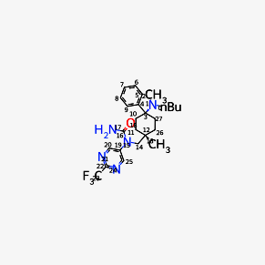 CCCCN(C)[C@]1(c2ccccc2)CC[C@@](C)(CN(C(N)=O)c2cnc(C(F)(F)F)nc2)CC1